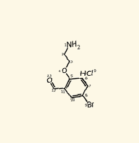 Cl.NCCOc1ccc(Br)cc1C=O